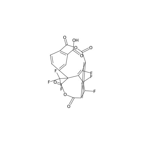 O=C(O)c1cc2ccc1C(=O)OC(=O)c1c(F)c3c(F)c(F)c1C(=O)OC(=O)C23C(F)(F)F